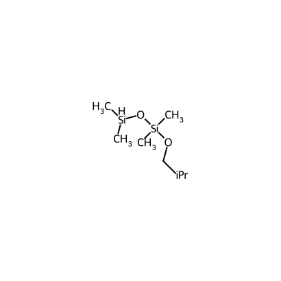 CC(C)CO[Si](C)(C)O[SiH](C)C